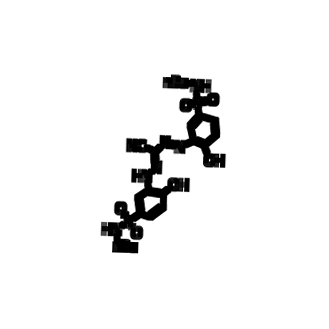 CCCCNS(=O)(=O)c1ccc(O)c(N=NC(C#N)=NNc2cc(S(=O)(=O)NCCCC)ccc2O)c1